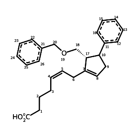 O=C(O)CCC/C=C\CC1=CCC(c2ccccc2)[C@H]1COCc1ccccc1